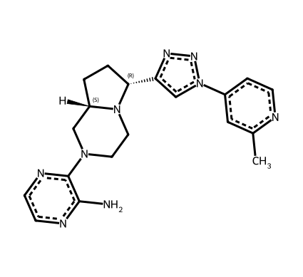 Cc1cc(-n2cc([C@H]3CC[C@H]4CN(c5nccnc5N)CCN43)nn2)ccn1